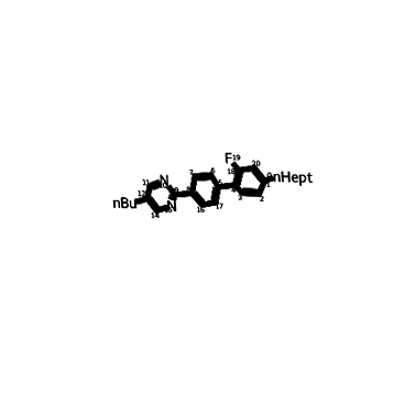 CCCCCCCc1ccc(-c2ccc(-c3ncc(CCCC)cn3)cc2)c(F)c1